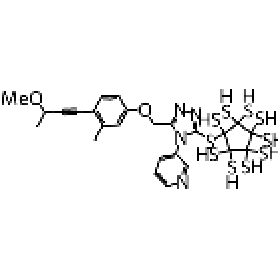 COC(C)C#Cc1ccc(OCc2nnc(SC3(S)C(S)(S)C(S)(S)C(S)(S)C3(S)S)n2-c2cccnc2)cc1C